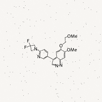 COCCOc1cc2c(-c3ccc(N4CC(F)(F)C4)nc3)cnnc2cc1OC